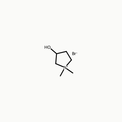 C[N+]1(C)CCC(O)C1.[Br-]